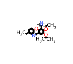 CCc1ccc(Oc2c(C#N)cc(OC(C)C)c(OC(C)C)c2C#N)cc1